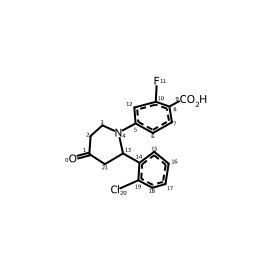 O=C1CCN(c2ccc(C(=O)O)c(F)c2)C(c2ccccc2Cl)C1